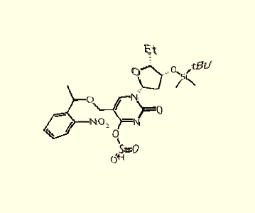 CC[C@H]1O[C@@H](n2cc(COC(C)c3ccccc3[N+](=O)[O-])c(O[SH](=O)=O)nc2=O)C[C@H]1O[Si](C)(C)C(C)(C)C